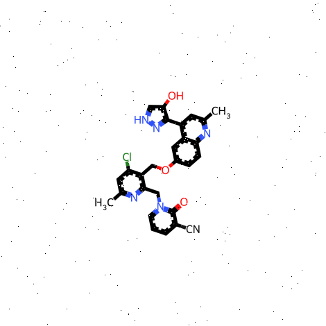 Cc1cc(Cl)c(COc2ccc3nc(C)cc(-c4n[nH]cc4O)c3c2)c(Cn2cccc(C#N)c2=O)n1